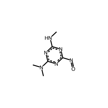 CNc1nc(N=O)nc(N(C)C)n1